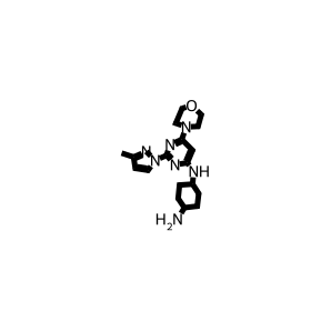 Cc1ccn(-c2nc(NC3CCC(N)CC3)cc(N3CCOCC3)n2)n1